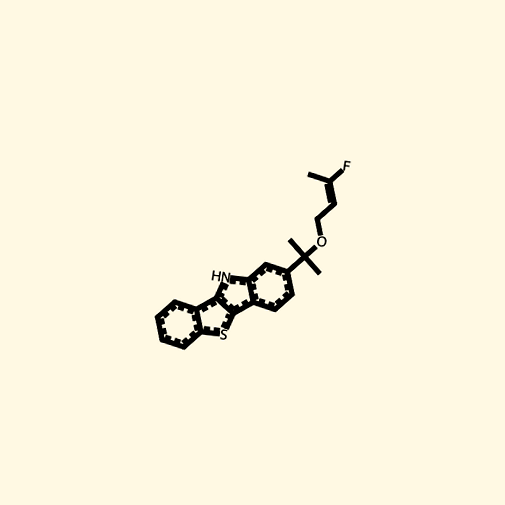 C/C(F)=C\COC(C)(C)c1ccc2c(c1)[nH]c1c3ccccc3sc21